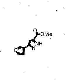 COC(=O)c1cc(-c2ccoc2)n[nH]1